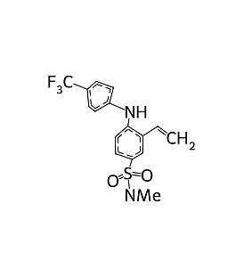 C=Cc1cc(S(=O)(=O)NC)ccc1Nc1ccc(C(F)(F)F)cc1